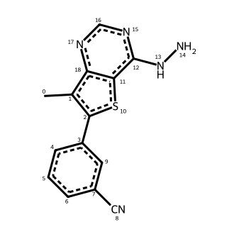 Cc1c(-c2cccc(C#N)c2)sc2c(NN)ncnc12